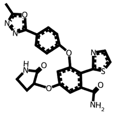 Cc1nnc(-c2ccc(Oc3cc(OC4CCNC4=O)cc(C(N)=O)c3-c3nccs3)cc2)o1